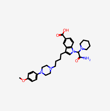 COc1ccc(N2CCN(CCCCc3cn(C(C(N)=O)N4CCCCC4)c4ccc(C(=O)O)cc34)CC2)cc1